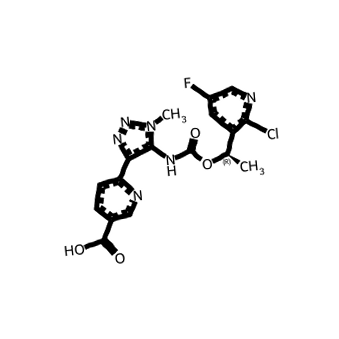 C[C@@H](OC(=O)Nc1c(-c2ccc(C(=O)O)cn2)nnn1C)c1cc(F)cnc1Cl